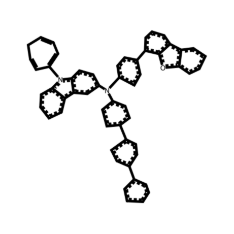 C1=CCC=CC(n2c3ccccc3c3cc(N(c4ccc(-c5ccc(-c6ccccc6)cc5)cc4)c4ccc(-c5cccc6c5oc5ccccc56)cc4)ccc32)=C1